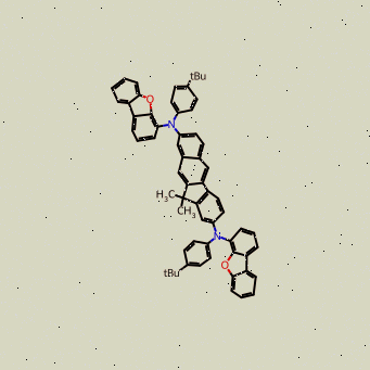 CC(C)(C)c1ccc(N(c2ccc3c(c2)C(C)(C)c2cc4cc(N(c5ccc(C(C)(C)C)cc5)c5cccc6c5oc5ccccc56)ccc4cc2-3)c2cccc3c2oc2ccccc23)cc1